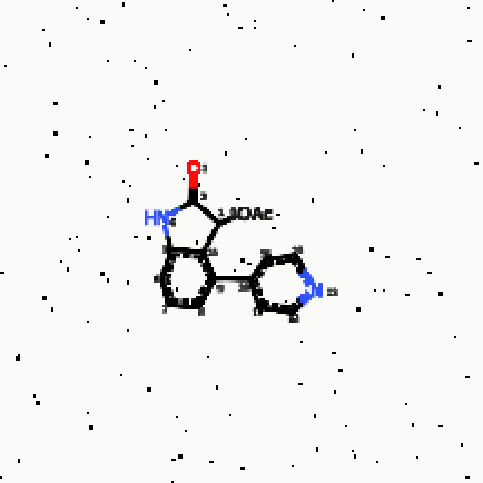 CC(=O)OC1C(=O)Nc2cccc(-c3ccncc3)c21